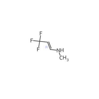 CN/C=C/C(F)(F)F